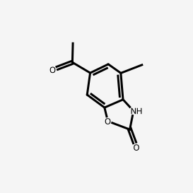 CC(=O)c1cc(C)c2[nH]c(=O)oc2c1